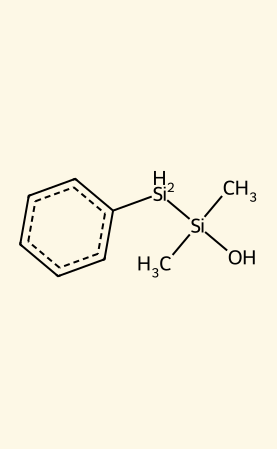 C[Si](C)(O)[SiH2]c1ccccc1